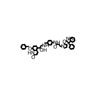 NC(=O)C(c1ccccc1)(c1ccccc1)[C@@H]1CCN(CCC(=O)Nc2ccc(CNC[C@H](O)c3ccc(OCc4ccccc4)c4[nH]c(=O)ccc34)cc2)C1